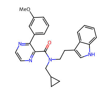 COc1cccc(-c2nccnc2C(=O)N(CCc2c[nH]c3ccccc23)CC2CC2)c1